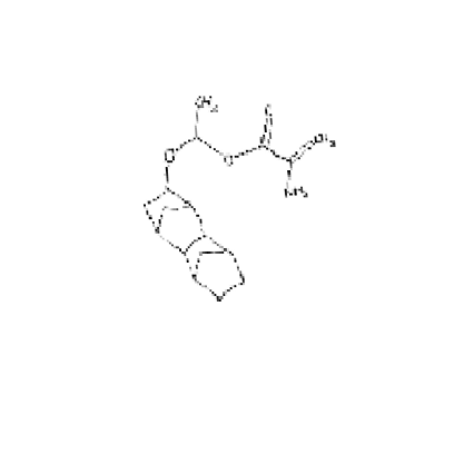 C=C(N)C(=O)OC(C)OC1CC2CC1C1C3CCC(C3)C21